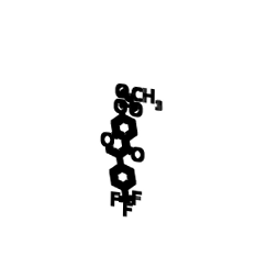 CS(=O)(=O)Oc1ccc2c(=O)c(-c3ccc(C(F)(F)F)cc3)coc2c1